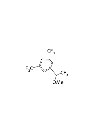 COC(c1cc(C(F)(F)F)cc(C(F)(F)F)c1)C(F)(F)F